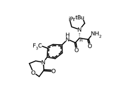 CC(C)CN(CC(C)(C)C)[C@H](C(N)=O)C(=O)Nc1ccc(N2CCOCC2=O)c(C(F)(F)F)c1